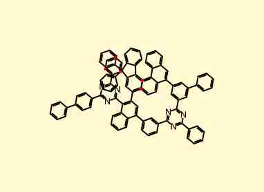 c1ccc(-c2ccc(-c3nc(-c4ccccc4)nc(-c4c(-c5ccc6c(c5)C(c5ccccc5)(c5ccccc5)c5ccccc5-6)cc(-c5cccc(-c6nc(-c7ccccc7)nc(-c7cc(-c8ccccc8)cc(-c8cc9ccccc9c9ccccc89)c7)n6)c5)c5ccccc45)n3)cc2)cc1